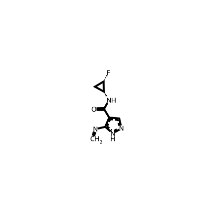 C=Nc1[nH]ncc1C(=O)N[C@@H]1C[C@@H]1F